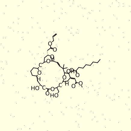 C=CCOC(=O)C[C@H]1CC2CC3CCC[C@@H](C[C@@H](O)CC(=O)OC(CO)C[C@@H]4C/C(=C\C(=O)OC)[C@H](OC(=O)CCCCCCC)[C@@](O)(O4)C(C)(C)/C=C/[C@H](O2)O1)O3